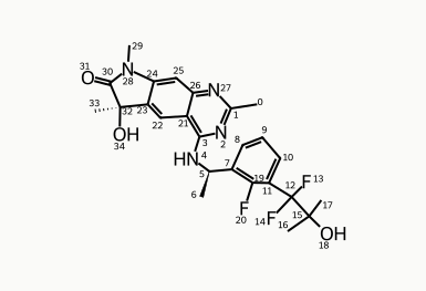 Cc1nc(N[C@H](C)c2cccc(C(F)(F)C(C)(C)O)c2F)c2cc3c(cc2n1)N(C)C(=O)[C@]3(C)O